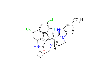 O=C(O)c1ccc2c(c1)nc1n2CC[C@H]2[C@@H]1[C@H](c1cccc(Cl)c1F)[C@]1(C(=O)Nc3cc(Cl)ccc31)N2CC1CCC1